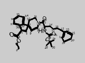 CCOC(=O)C1CC2(CCN(C(=O)C(CCCc3ccccc3)NC(=O)OC(C)(C)C)CC2)c2ccccc21